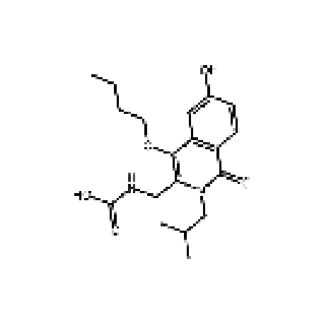 CCCCOc1c(CNC(=O)O)n(CC(C)C)c(=O)c2ccc(O)cc12